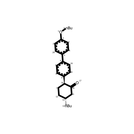 CCCCOc1ccc(-c2ccc([C@@H]3CC[C@@H](CCCC)CC3=O)cc2)cc1